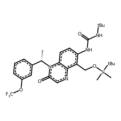 C[C@@H](c1cccc(OC(F)(F)F)c1)n1c(=O)cnc2c(CO[Si](C)(C)C(C)(C)C)c(NC(=O)NC(C)(C)C)ccc21